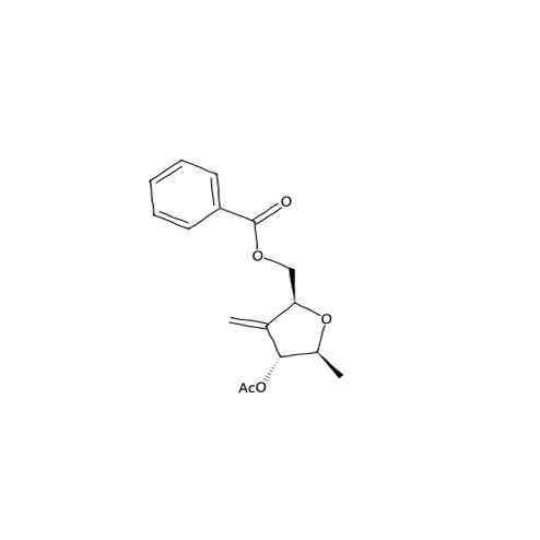 C=C1[C@@H](OC(C)=O)[C@H](C)O[C@@H]1COC(=O)c1ccccc1